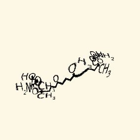 CC(C)(CCCC(=O)CCCC(=O)CCCC(C)(C)OP(N)(=O)O)OP(N)(=O)O